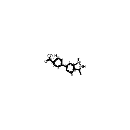 CC1NN(C)c2cc(-c3ccc(C(=O)C(=O)O)cc3)ccc21